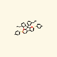 C=CCc1cccc(C2(c3cccc(CC=C)c3OS(=O)(=O)c3ccc(C)cc3)c3ccccc3-c3ccccc32)c1OS(=O)(=O)c1ccc(C)cc1